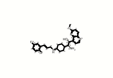 COc1ccc2nccc([C@H](O)[C@@H](N)C3CCC(NCC=Cc4cc(F)ccc4F)CC3)c2n1